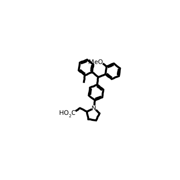 COc1ccccc1C(c1ccc(N2CCCC2CC(=O)O)cc1)c1ccccc1C